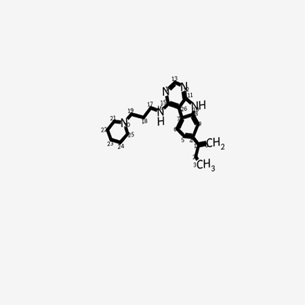 C=C(CC)c1ccc2c(c1)[nH]c1ncnc(NCCCN3CCCCC3)c12